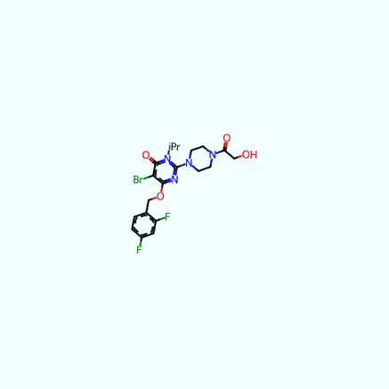 CC(C)n1c(N2CCN(C(=O)CO)CC2)nc(OCc2ccc(F)cc2F)c(Br)c1=O